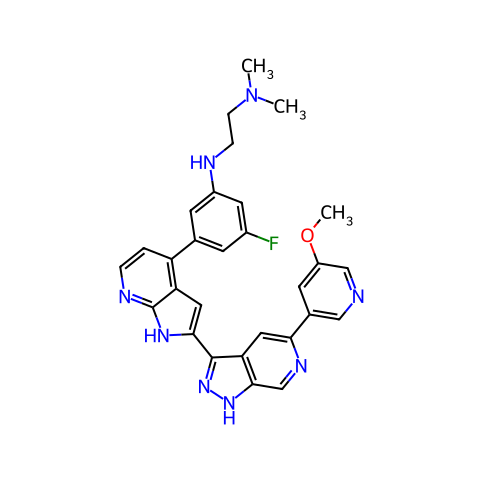 COc1cncc(-c2cc3c(-c4cc5c(-c6cc(F)cc(NCCN(C)C)c6)ccnc5[nH]4)n[nH]c3cn2)c1